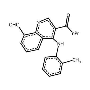 CCCC(=O)c1cnc2c(C=O)cccc2c1Nc1ccccc1C